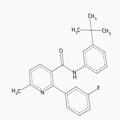 Cc1ccc(C(=O)Nc2cccc(C(C)(C)C)c2)c(-c2cccc(F)c2)n1